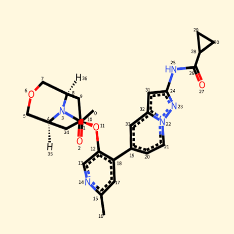 CC(=O)N1[C@@H]2COC[C@H]1C[C@@H](Oc1cnc(C)cc1-c1ccn3nc(NC(=O)C4CC4)cc3c1)C2